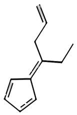 C=CCC(CC)=C1C=CC=C1